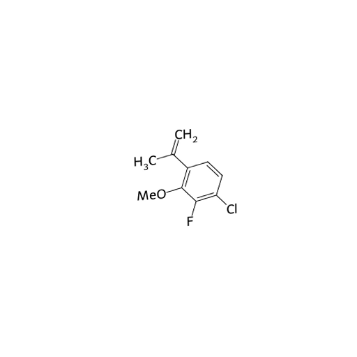 C=C(C)c1ccc(Cl)c(F)c1OC